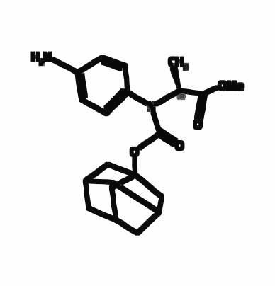 COC(=O)[C@H](C)N(C(=O)OC12CC3CC(CC(C3)C1)C2)c1ccc(N)cc1